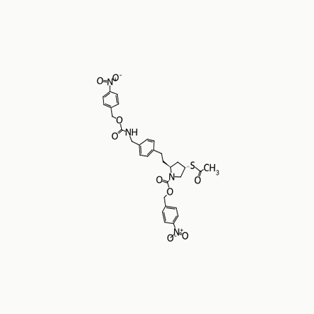 CC(=O)S[C@H]1C[C@H](CCc2ccc(CNC(=O)OCc3ccc([N+](=O)[O-])cc3)cc2)N(C(=O)OCc2ccc([N+](=O)[O-])cc2)C1